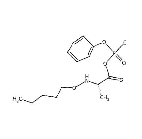 CCCCCON[C@@H](C)C(=O)OP(=O)(Cl)Oc1ccccc1